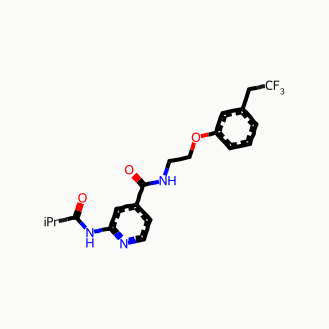 CC(C)C(=O)Nc1cc(C(=O)NCCOc2cccc(CC(F)(F)F)c2)ccn1